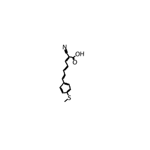 CSc1ccc(C=CC=CC=C(C#N)C(=O)O)cc1